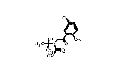 CC(C)(C)N(CC(=O)c1cc(Cl)ccc1O)C(=O)O